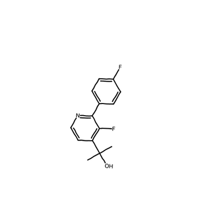 CC(C)(O)c1ccnc(-c2ccc(F)cc2)c1F